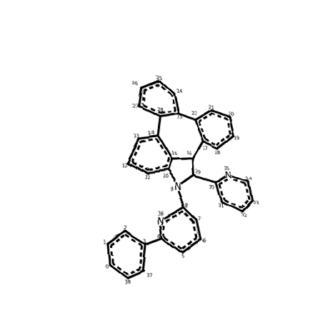 c1ccc(-c2cccc(N3c4cccc5c4C(c4ccccc4-c4ccccc4-5)C3c3ccccn3)n2)cc1